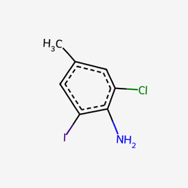 Cc1cc(Cl)c(N)c(I)c1